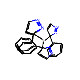 C1=C[C](c2ccccc2)([Ir]([C]2(c3ccccc3)C=CN=N2)[C]2(c3ccccc3)C=CN=N2)N=N1